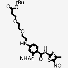 CC(=O)Nc1cc(NCCOCCOCCC(=O)OC(C)(C)C)ccc1C(=O)Nc1nc(C)c(N=O)s1